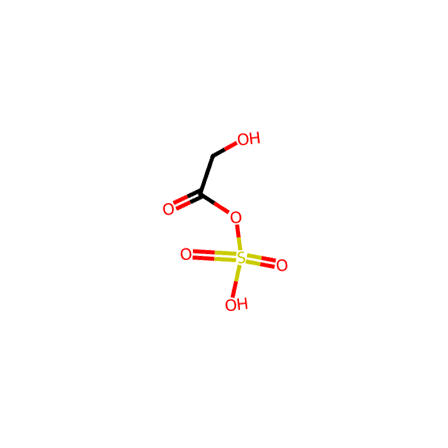 O=C(CO)OS(=O)(=O)O